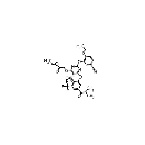 CCOC(=O)COc1nc(Oc2cc(C#N)ccc2OCC)nc(Oc2cc(C(=O)N(C)C)cc(C(F)(F)F)c2)c1[N+](=O)[O-]